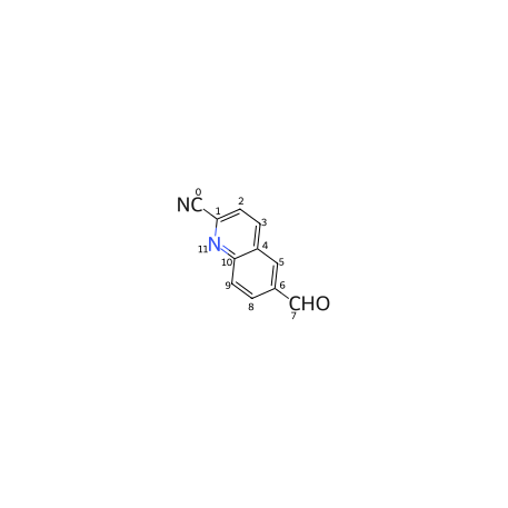 N#Cc1ccc2cc(C=O)ccc2n1